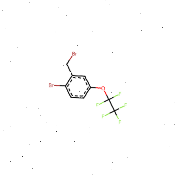 FC(F)(F)C(F)(F)Oc1ccc(Br)c(CBr)c1